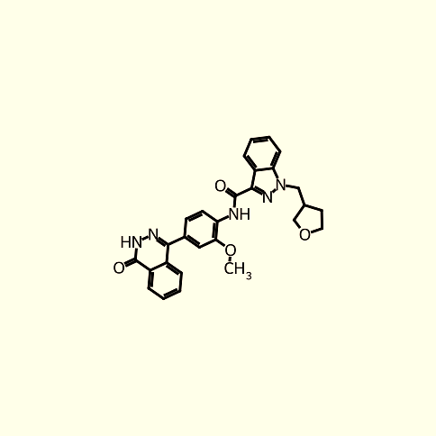 COc1cc(-c2n[nH]c(=O)c3ccccc23)ccc1NC(=O)c1nn(CC2CCOC2)c2ccccc12